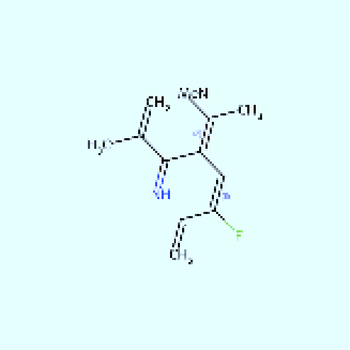 C=C/C(F)=C\C(C(=N)C(=C)C)=C(/C)NC